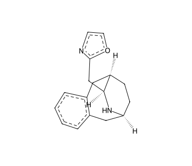 c1ccc2c(c1)C[C@@H]1CC[C@H](C2)[C@H](Cc2ncco2)N1